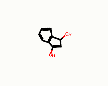 OC1=CC(O)c2ccc[c]c21